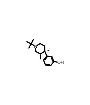 C[C@H]1CN(C(C)(C)C)CC[C@@]1(C)c1cccc(O)c1